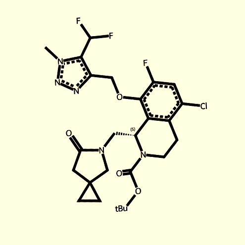 Cn1nnc(COc2c(F)cc(Cl)c3c2[C@@H](CN2CC4(CC4)CC2=O)N(C(=O)OC(C)(C)C)CC3)c1C(F)F